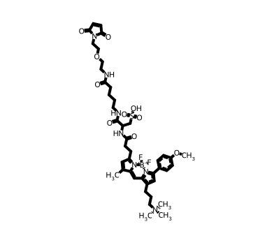 COc1ccc(-c2cc(CCC[N+](C)(C)C)c3n2[B-](F)(F)[N+]2=C(CCC(=O)NC(CS(=O)(=O)O)C(=O)NCCCCC(=O)NCCOCCN4C(=O)C=CC4=O)C=C(C)C2=C3)cc1